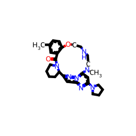 Cc1ccc2c(c1)C(=O)N1CCCCC1c1cc3nc(N4CCCC4)cc(n3n1)N(C)CCNCCO2